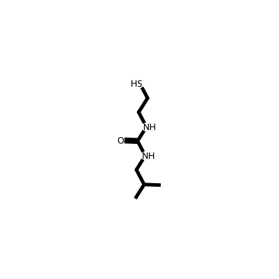 CC(C)CNC(=O)NCCS